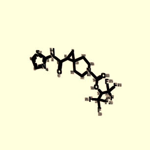 O=C(Nc1nccs1)C1CC12CCN(C(=O)OC(C(F)(F)F)C(F)(F)F)CC2